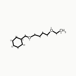 CCOCCCCO[CH]C1CCCCC1